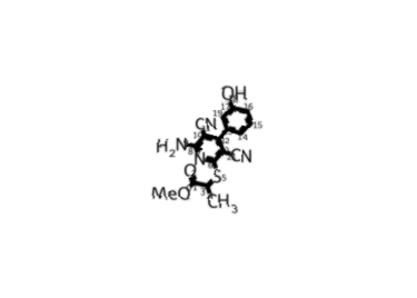 COC(=O)C(C)Sc1nc(N)c(C#N)c(-c2cccc(O)c2)c1C#N